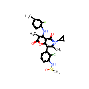 Cc1ccc(Nc2c(C)c(=O)oc3c(-c4cccc(N[S+](C)[O-])c4Cl)c(C)n(C4CC4)c(=O)c23)c(F)c1